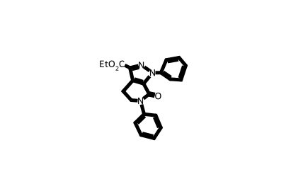 CCOC(=O)c1nn(-c2ccccc2)c2c1CCN(c1ccccc1)C2=O